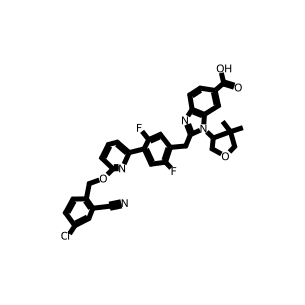 CC1(C)COCC1n1c(Cc2cc(F)c(-c3cccc(OCc4ccc(Cl)cc4C#N)n3)cc2F)nc2ccc(C(=O)O)cc21